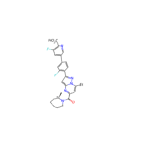 CCc1cc(C(=O)N2CCCCC[C@H]2C)nc2cc(-c3ccc(-c4cnc(C(=O)O)c(F)c4)cc3F)nn12